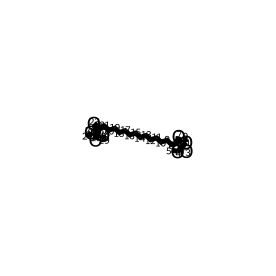 COP(=O)(OC)C(=O)CCCCCCCCCCCCCCC(=O)P(=O)(OC)OC